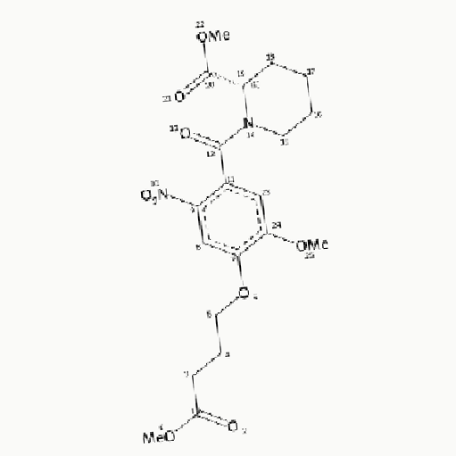 COC(=O)CCCOc1cc([N+](=O)[O-])c(C(=O)N2CCCC[C@H]2C(=O)OC)cc1OC